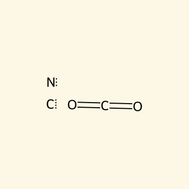 O=C=O.[C].[N]